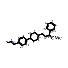 C/C=C/c1ccc(C2CCC(CCC(OC)c3ccccc3)CC2)cc1